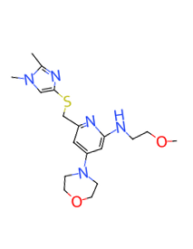 COCCNc1cc(N2CCOCC2)cc(CSc2cn(C)c(C)n2)n1